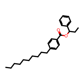 CCCCCCCCCCc1ccc(C(=O)OC(CC)c2ccccc2)cc1